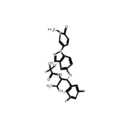 CC(C)C(NC(=O)C(C)(F)F)[C@H](Oc1ccc2c(cnn2-c2ccc(=O)n(C)c2)c1)c1cc(F)cc(F)c1